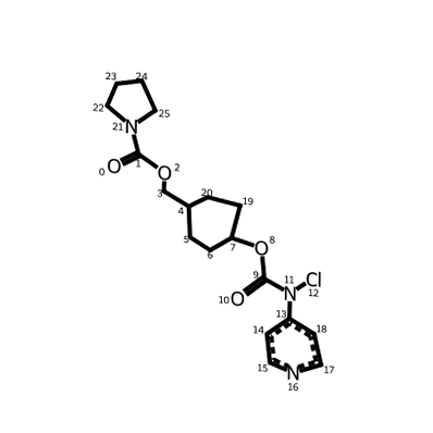 O=C(OCC1CCC(OC(=O)N(Cl)c2ccncc2)CC1)N1CCCC1